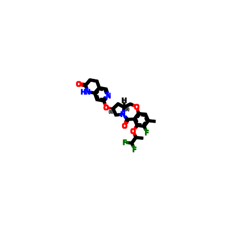 Cc1cc2c(c(OC(C)C(F)F)c1F)C(=O)N1C[C@@H](Oc3cc4c(cn3)CCC(=O)N4)C[C@@H]1CO2